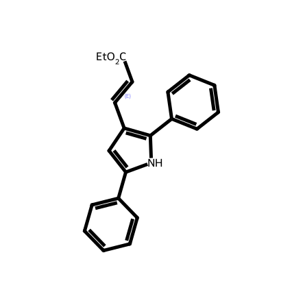 CCOC(=O)/C=C/c1cc(-c2ccccc2)[nH]c1-c1ccccc1